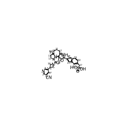 N#Cc1cncc(C2CN(C(=O)[C@@H]3CC[C@@H]4CCC[C@H](NC(=O)c5cc6cc(CP(=O)(O)O)ccc6s5)C(=O)N43)C2)c1